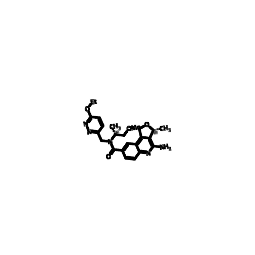 CCOc1ccc(CN(C(=O)c2ccc3nc(N)c4c(c3c2)CO[C@@H]4C)[C@H](C)COC)nn1